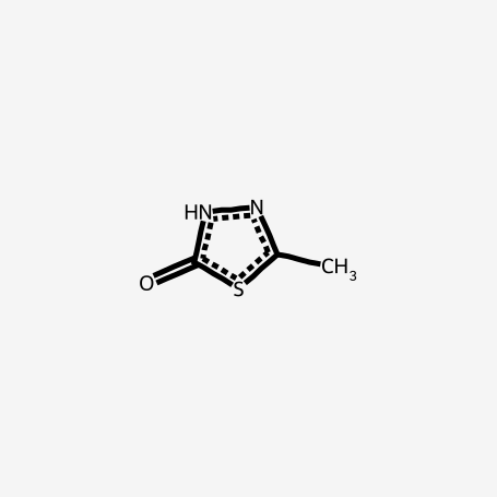 Cc1n[nH]c(=O)s1